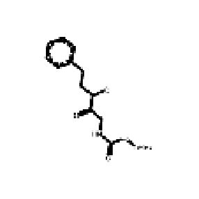 CCCCCCOC(=O)NCC(=O)C(Cl)CCc1ccccc1